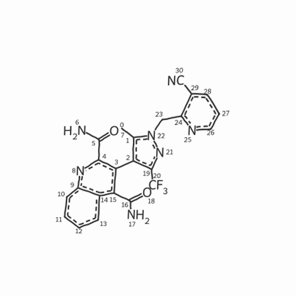 Cc1c(-c2c(C(N)=O)nc3ccccc3c2C(N)=O)c(C(F)(F)F)nn1Cc1ncccc1C#N